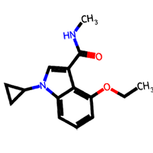 CCOc1c[c]cc2c1c(C(=O)NC)cn2C1CC1